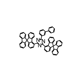 c1ccc(-c2cccc(-c3nc(-c4cccc5c4-c4ccccc4C54c5ccccc5-c5ccccc54)nc(-c4cccc5c4-c4ccccc4C54c5ccccc5-c5ccccc54)n3)c2)cc1